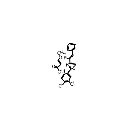 COC=CC(=O)O.FC(=Cc1ccccc1)c1csc(-c2ccc(Cl)c(Cl)c2)n1